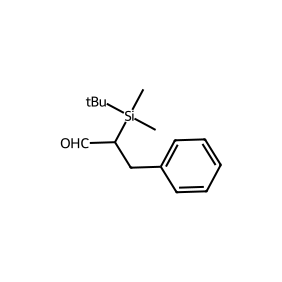 CC(C)(C)[Si](C)(C)C(C=O)Cc1ccccc1